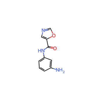 Nc1cccc(NC(=O)c2cnco2)c1